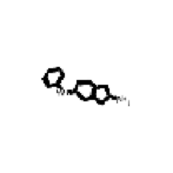 NC1Cc2ccc(Nc3ccccc3)cc2C1